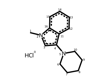 Cl.Cn1cc(N2CCCCC2)c2ccccc21